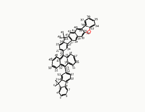 CC1(C)c2ccccc2-c2ccc(-c3c4ccccc4c(-c4ccc5c(c4)-c4cc6cc7oc8ccccc8c7cc6cc4C5(C)C)c4ccccc34)cc21